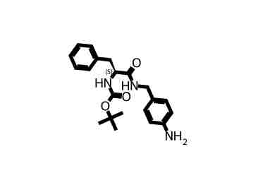 CC(C)(C)OC(=O)N[C@@H](Cc1ccccc1)C(=O)NCc1ccc(N)cc1